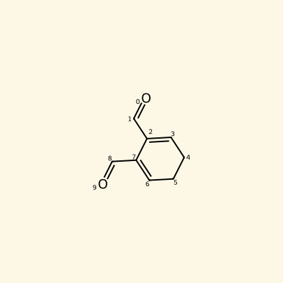 O=CC1=CCCC=C1C=O